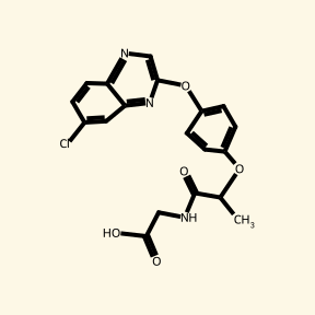 CC(Oc1ccc(Oc2cnc3ccc(Cl)cc3n2)cc1)C(=O)NCC(=O)O